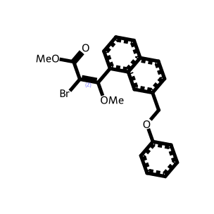 COC(=O)/C(Br)=C(/OC)c1cccc2ccc(COc3ccccc3)cc12